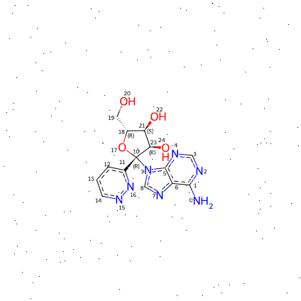 Nc1ncnc2c1ncn2[C@]1(c2cccnn2)O[C@H](CO)[C@@H](O)[C@H]1O